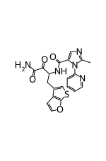 Cc1ncc(C(=O)NC(Cc2csc3occc23)C(=O)C(N)=O)n1-c1ccccn1